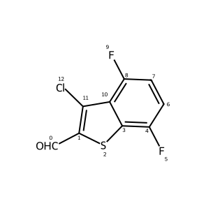 O=Cc1sc2c(F)ccc(F)c2c1Cl